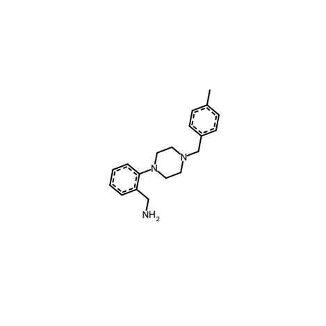 Cc1ccc(CN2CCN(c3ccccc3CN)CC2)cc1